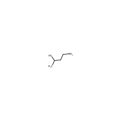 [CH2]C(S)CCN